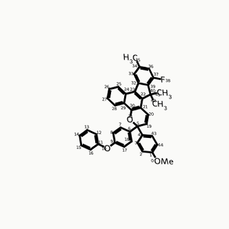 COc1ccc(C2(c3ccc(Oc4ccccc4)cc3)C=Cc3c4c(c5ccccc5c3O2)-c2cc(C)cc(F)c2C4(C)C)cc1